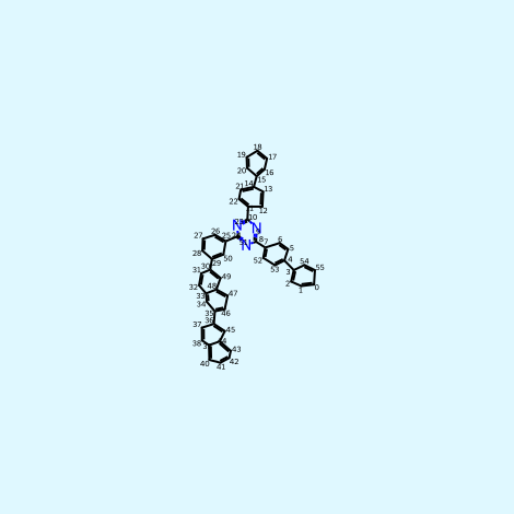 c1ccc(-c2ccc(-c3nc(-c4ccc(-c5ccccc5)cc4)nc(-c4cccc(-c5ccc6cc(-c7ccc8ccccc8c7)ccc6c5)c4)n3)cc2)cc1